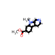 COC(=O)c1ccc2c3ccncc3n(C)c2c1